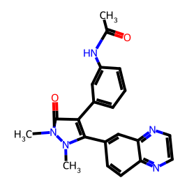 CC(=O)Nc1cccc(-c2c(-c3ccc4nccnc4c3)n(C)n(C)c2=O)c1